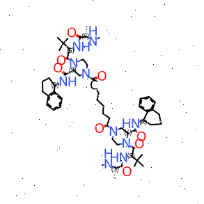 CN[C@@H](C)C(=O)N[C@H](C(=O)N1CCN(C(=O)CCCCCCC(=O)N2CCN(C(=O)[C@@H](NC(=O)[C@H](C)NC)C(C)(C)C)[C@H](C(=O)N[C@@H]3CCCc4ccccc43)C2)C[C@H]1C(=O)N[C@@H]1CCCc2ccccc21)C(C)(C)C